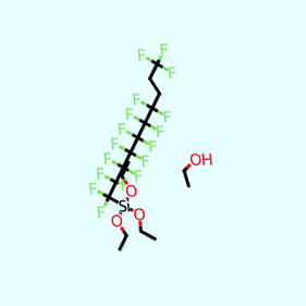 CCO.CCO[Si](OCC)(OCC)C(F)(F)C(F)(F)C(F)(F)C(F)(F)C(F)(F)C(F)(F)C(F)(F)CCC(F)(F)F